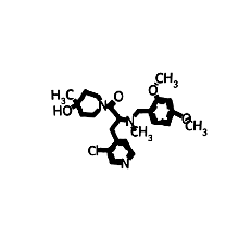 COc1ccc(CN(C)C(Cc2ccncc2Cl)C(=O)N2CCC(C)(O)CC2)c(OC)c1